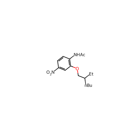 CCCCC(CC)COc1cc([N+](=O)[O-])ccc1NC(C)=O